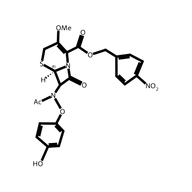 COC1=C(C(=O)OCc2ccc([N+](=O)[O-])cc2)N2C(=O)C(N(Oc3ccc(O)cc3)C(C)=O)[C@H]2SC1